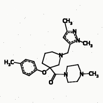 Cc1ccc(OC2(C(=O)N3CCN(C)CC3)CCCN(Cc3cc(C)nn3C)C2)cc1